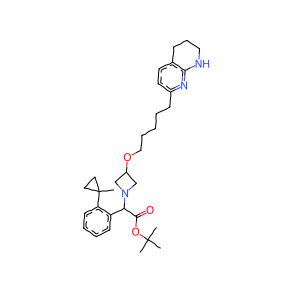 CC(C)(C)OC(=O)C(c1ccccc1C1(C)CC1)N1CC(OCCCCCc2ccc3c(n2)NCCC3)C1